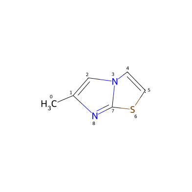 Cc1cn2c[c]sc2n1